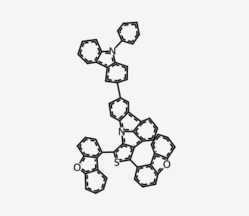 c1ccc(-n2c3ccccc3c3cc(-c4ccc5c(c4)c4cccc6c7c(-c8cccc9oc%10ccccc%10c89)sc(-c8cccc9oc%10ccccc%10c89)c7n5c46)ccc32)cc1